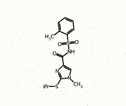 Cc1ccccc1S(=O)(=O)NC(=O)c1cn(C)c(SC(C)C)n1